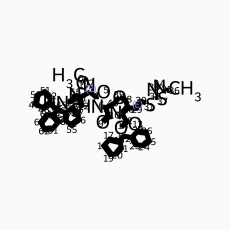 CO/N=C(/C(=O)NC1C(=O)N2C(C(=O)OC(c3ccccc3)c3ccccc3)=C(/C=C/Sc3nnc(C)s3)COC12)c1csc(NC(c2ccccc2)(c2ccccc2)c2ccccc2)n1